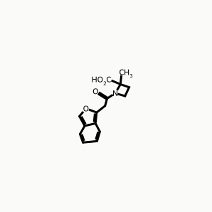 CC1(C(=O)O)CCN1C(=O)Cc1occ2ccccc12